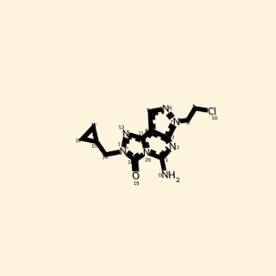 Nc1nc2c(cnn2CCCl)c2nn(CC3CC3)c(=O)n12